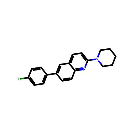 Fc1ccc(-c2ccc3nc(N4CCCCC4)ccc3c2)cc1